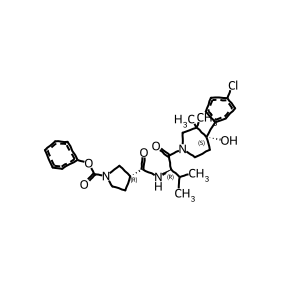 CC(C)[C@@H](NC(=O)[C@@H]1CCN(C(=O)Oc2ccccc2)C1)C(=O)N1CC[C@](O)(c2ccc(Cl)cc2)C(C)(C)C1